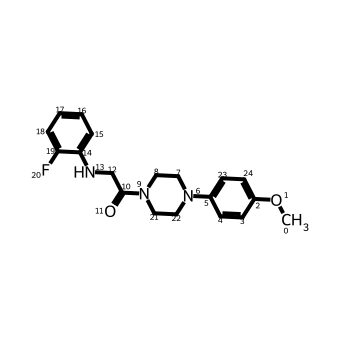 COc1ccc(N2CCN(C(=O)CNc3ccccc3F)CC2)cc1